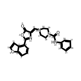 O=C1OC(c2cccc3occc23)=NC1=CN1CCN(C(=O)Nc2ccccc2)CC1